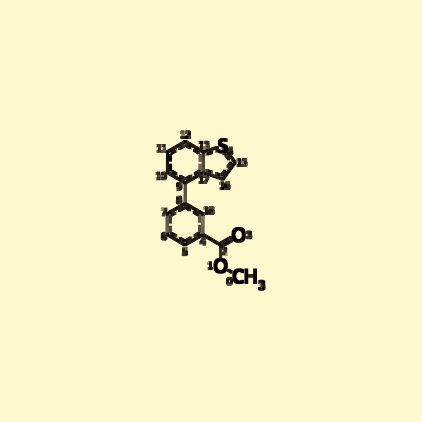 COC(=O)c1cccc(-c2cccc3sccc23)c1